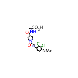 CNc1ccc(/C=C/C(=O)N2CCC(C(=O)NC(C)C(=O)O)CC2)c(Cl)c1Cl